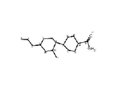 CCCC1CCC(C2CCC(C(N)=O)CC2)C(C)C1